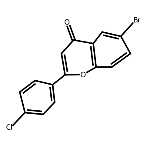 O=c1cc(-c2ccc(Cl)cc2)oc2ccc(Br)cc12